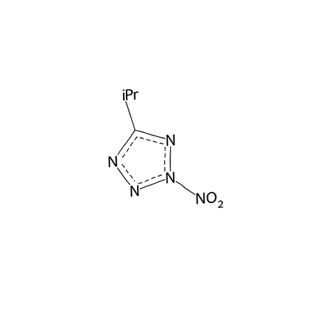 CC(C)c1nnn([N+](=O)[O-])n1